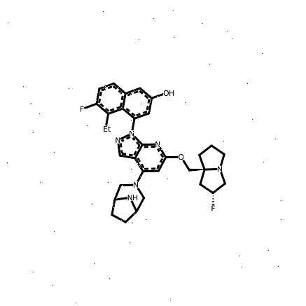 CCc1c(F)ccc2cc(O)cc(-n3ncc4c(N5CC6CCC(C5)N6)cc(OC[C@@]56CCCN5C[C@H](F)C6)nc43)c12